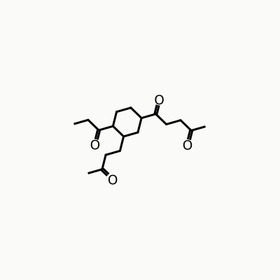 CCC(=O)C1CCC(C(=O)CCC(C)=O)CC1CCC(C)=O